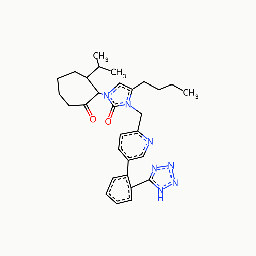 CCCCc1cn(C2C(=O)CCCCC2C(C)C)c(=O)n1Cc1ccc(-c2ccccc2-c2nnn[nH]2)cn1